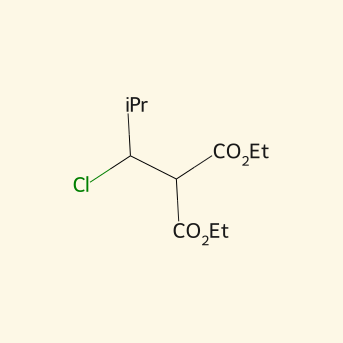 CCOC(=O)C(C(=O)OCC)C(Cl)C(C)C